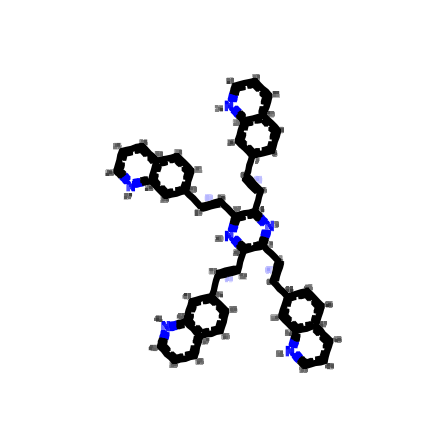 C(=C\c1nc(/C=C/c2ccc3cccnc3c2)c(/C=C/c2ccc3cccnc3c2)nc1/C=C/c1ccc2cccnc2c1)/c1ccc2cccnc2c1